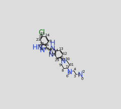 CN(C)CCN(C)C1CCN(c2ccc3[nH]c(-c4n[nH]c5cc(Cl)ccc45)nc3c2)CC1